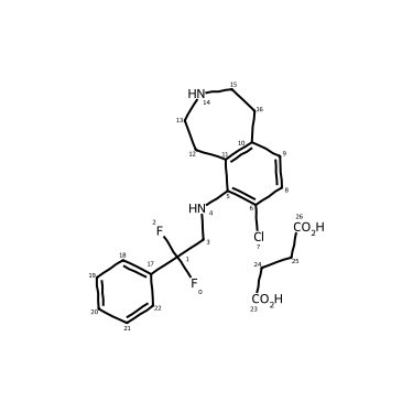 FC(F)(CNc1c(Cl)ccc2c1CCNCC2)c1ccccc1.O=C(O)CCC(=O)O